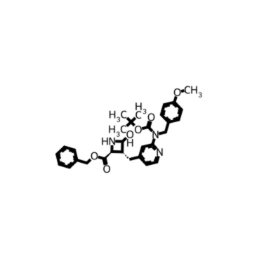 COc1ccc(CN(C(=O)OC(C)(C)C)c2cc(C[C@H]3C(O)N[C@@H]3C(=O)OCc3ccccc3)ccn2)cc1